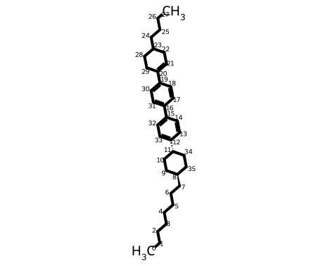 CCCCCCCC[C@H]1CC[C@H](c2ccc(-c3ccc(C4=CCC(CCCC)CC4)cc3)cc2)CC1